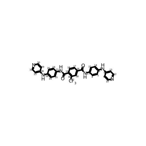 O=C(Nc1ccc(Nc2ccncc2)cc1)c1ccc(C(=O)Nc2ccc(Nc3ccncc3)cc2)c(C(F)(F)F)c1